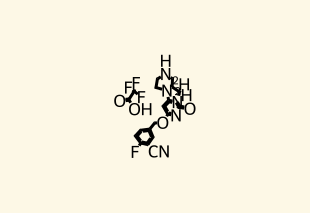 O=C(O)C(F)(F)F.[2H]C1([2H])C2CNCCN2c2cc(OCc3ccc(F)c(C#N)c3)nc(=O)n21